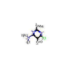 CCCN(CC)c1nc(SC)nc(Cl)c1C=O